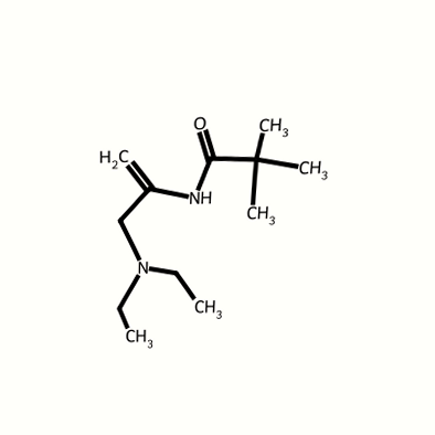 C=C(CN(CC)CC)NC(=O)C(C)(C)C